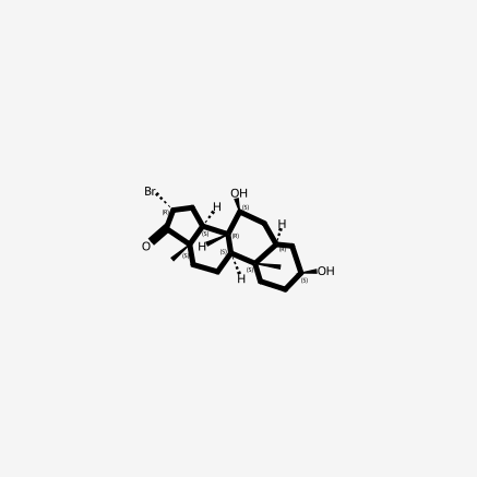 C[C@]12CC[C@H](O)C[C@@H]1C[C@H](O)[C@@H]1[C@@H]2CC[C@]2(C)C(=O)[C@H](Br)C[C@@H]12